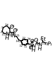 CCCC(CC)NC(=O)NS(=O)(=O)c1ccc(CCNC(=O)C2NCCCCC2=O)cc1